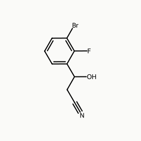 N#CCC(O)c1cccc(Br)c1F